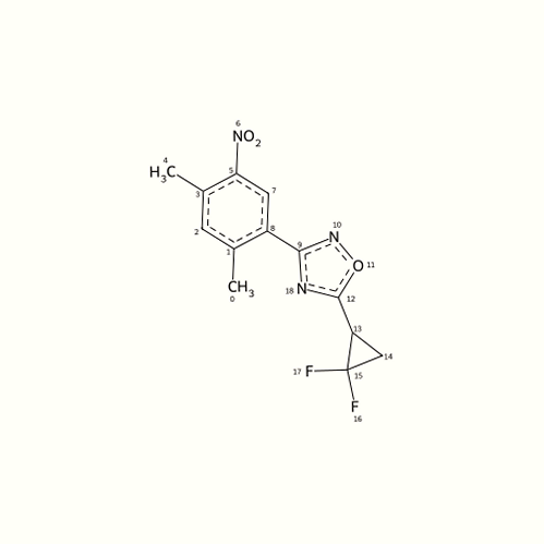 Cc1cc(C)c([N+](=O)[O-])cc1-c1noc(C2CC2(F)F)n1